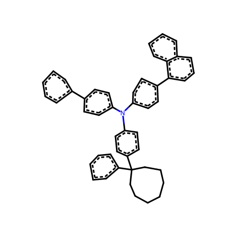 c1ccc(-c2ccc(N(c3ccc(-c4cccc5ccccc45)cc3)c3ccc(C4(c5ccccc5)CCCCCCC4)cc3)cc2)cc1